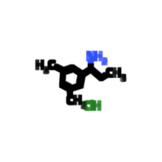 CCC(N)c1cc(C)cc(C)c1.Cl